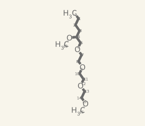 CCCCC(COCCOCCOCCOC)OC